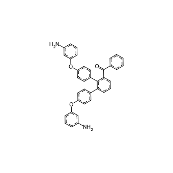 Nc1cccc(Oc2ccc(-c3cccc(C(=O)c4ccccc4)c3-c3ccc(Oc4cccc(N)c4)cc3)cc2)c1